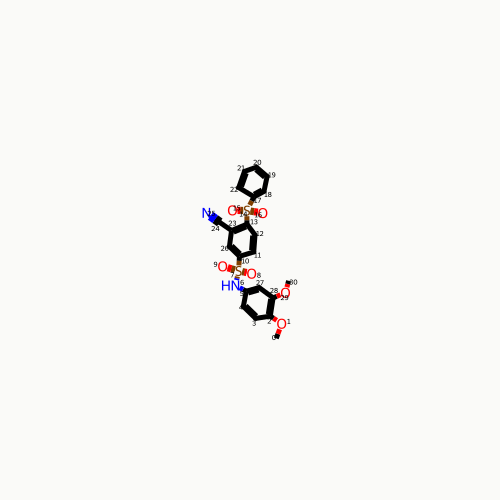 COc1ccc(NS(=O)(=O)c2ccc(S(=O)(=O)c3ccccc3)c(C#N)c2)cc1OC